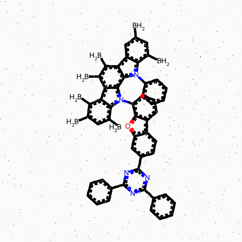 Bc1cc(B)c2c(c1)c1c(B)c(B)c3c4c(B)c(B)cc(B)c4n(-c4cccc5c4oc4cc(-c6nc(-c7ccccc7)nc(-c7ccccc7)n6)ccc45)c3c1n2-c1ccccc1